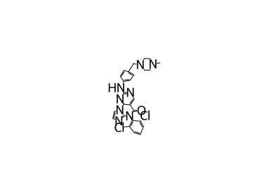 CN1CCN(Cc2ccc(Nc3ncc4c(=O)n(-c5c(Cl)cccc5Cl)c5nccn5c4n3)cc2)CC1